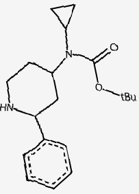 CC(C)(C)OC(=O)N(C1CC1)C1CCNC(c2ccccc2)C1